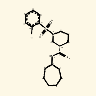 O=C(NC1CCCCCC1)[C@H]1CCCN(S(=O)(=O)c2ccccc2F)C1